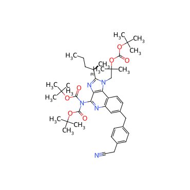 CCC[C@@H](C)c1nc2c(N(C(=O)OC(C)(C)C)C(=O)OC(C)(C)C)nc3cc(Cc4ccc(CC#N)cc4)ccc3c2n1CC(C)(C)OC(=O)OC(C)(C)C